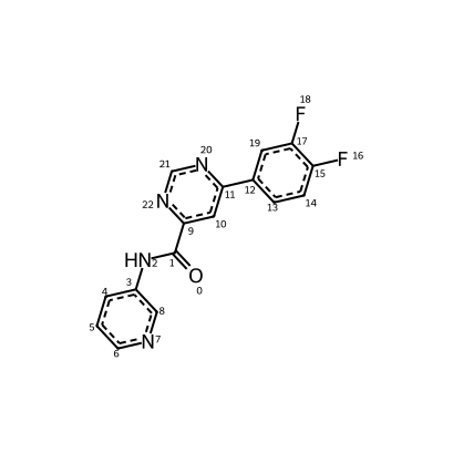 O=C(Nc1cccnc1)c1cc(-c2ccc(F)c(F)c2)ncn1